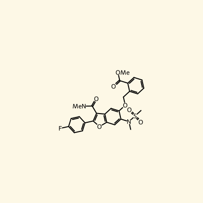 CNC(=O)c1c(-c2ccc(F)cc2)oc2cc(N(C)S(C)(=O)=O)c(OCc3ccccc3C(=O)OC)cc12